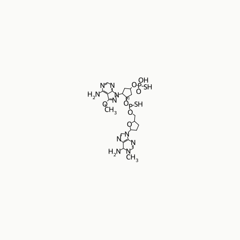 COc1nn(C2CC(OP(=O)(O)S)C[C@H]2OP(S)OCC2CCC(n3cnc4c3N=CN(C)C4N)O2)c2ncnc(N)c12